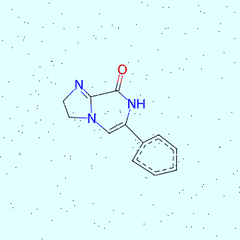 O=C1NC(c2ccccc2)=CN2CCN=C12